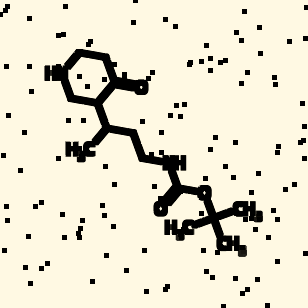 CC(CCNC(=O)OC(C)(C)C)C1CNCCC1=O